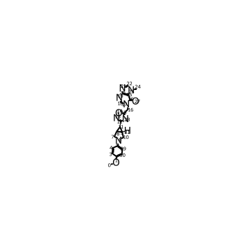 COc1ccc(N2CC3[C@@H](C2)[C@@H]3c2noc(Cn3cnc4ncn(C)c4c3=O)n2)cc1